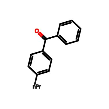 [CH2]CCc1ccc(C(=O)c2ccccc2)cc1